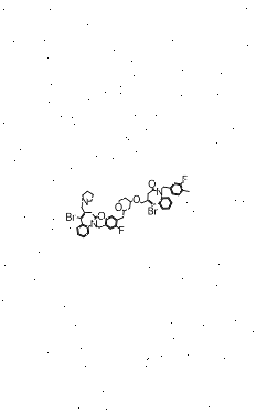 Cc1ccc(CN2C(=O)CC(COC3CCOC(Cc4ccc(CN5C(=O)CC(CN6CCCC6)=C(Br)c6ccccc65)cc4F)C3)=C(Br)c3ccccc32)cc1F